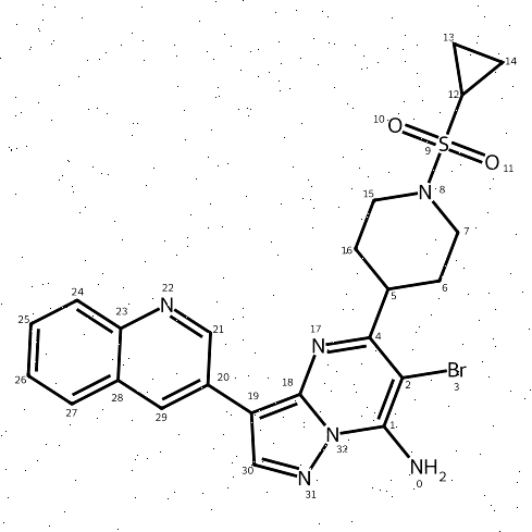 Nc1c(Br)c(C2CCN(S(=O)(=O)C3CC3)CC2)nc2c(-c3cnc4ccccc4c3)cnn12